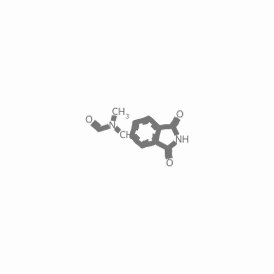 CN(C)C=O.O=C1NC(=O)c2ccccc21